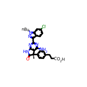 CCCCn1nc(-c2nc(N)c3c(n2)NC(=O)[C@@]3(C)c2ccc(CCC(=O)O)cc2)c2ccc(Cl)cc21